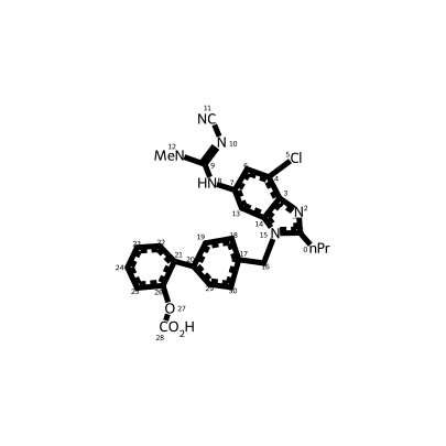 CCCc1nc2c(Cl)cc(NC(=NC#N)NC)cc2n1Cc1ccc(-c2ccccc2OC(=O)O)cc1